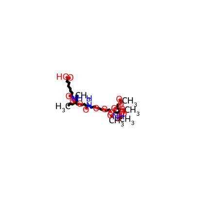 CCCC(CCC)(COCCC(=O)NCCOCCOCCOC1OC(COC(C)=O)C(OC(C)=O)C(OC(C)=O)C1NC(C)=O)ONC(=O)CCCCCCC(=O)O